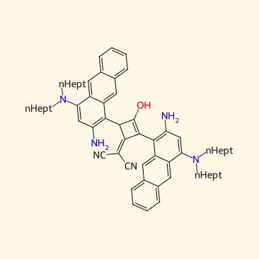 CCCCCCCN(CCCCCCC)c1cc(N)c(C2=C(O)C(c3c(N)cc(N(CCCCCCC)CCCCCCC)c4cc5ccccc5cc34)C2=C(C#N)C#N)c2cc3ccccc3cc12